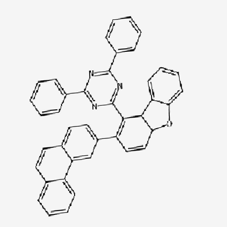 C1=CC2Oc3ccccc3C2C(c2nc(-c3ccccc3)nc(-c3ccccc3)n2)=C1c1ccc2ccc3ccccc3c2c1